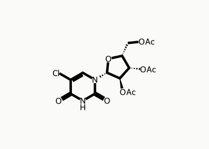 CC(=O)OC[C@H]1O[C@@H](n2cc(Cl)c(=O)[nH]c2=O)[C@H](OC(C)=O)[C@H]1OC(C)=O